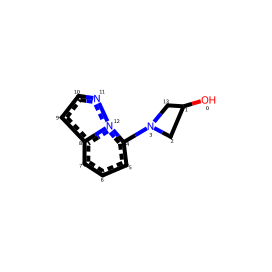 OC1CN(c2cc[c]c3ccnn23)C1